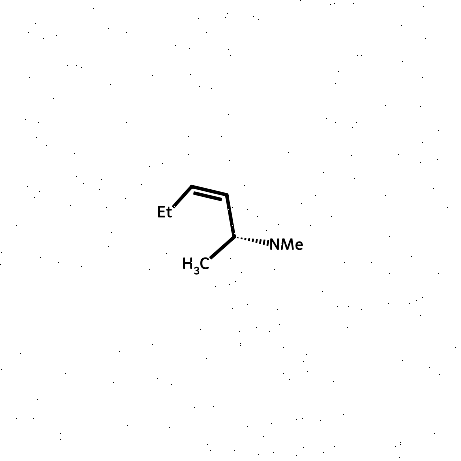 CC/C=C\[C@@H](C)NC